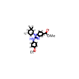 CCOc1ccc(Nc2nc3cc(C(=O)OC)ccc3n2[C@H]2C[C@H](C)CC(C)(C)C2)cc1